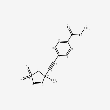 COC(=O)c1ccc(C#CC2(C)C=CS(=O)(=O)C2)cc1